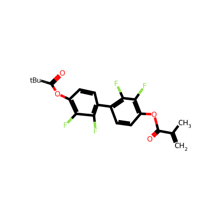 C=C(C)C(=O)Oc1ccc(-c2ccc(OC(=O)C(C)(C)C)c(F)c2F)c(F)c1F